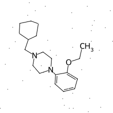 CCOc1ccccc1N1CCN(CC2CCCCC2)CC1